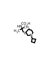 CC(C)(C[C@H]1CCCN(C2CCC2)C1)NC(=O)O